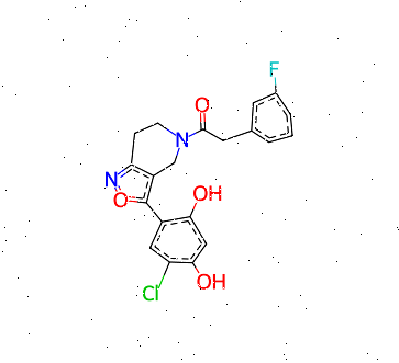 O=C(Cc1cccc(F)c1)N1CCc2noc(-c3cc(Cl)c(O)cc3O)c2C1